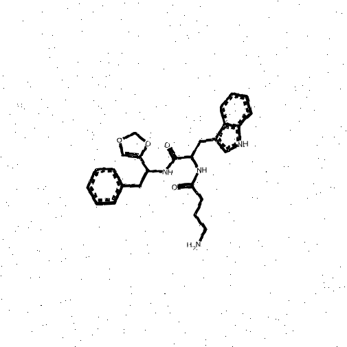 NCCCC(=O)NC(Cc1c[nH]c2ccccc12)C(=O)NC(Cc1ccccc1)C1=COCO1